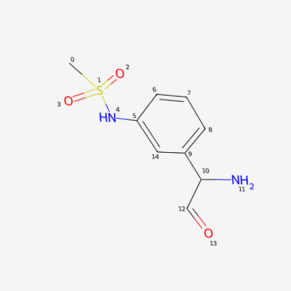 CS(=O)(=O)Nc1cccc(C(N)C=O)c1